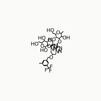 Cc1cc(COC(Cn2cc(COC3C(O)C(C)OC(CO)C3O)nn2)Cn2cc(COC3C(O)C(O)OC(CO)C3O)nn2)cc(C(F)(F)F)c1